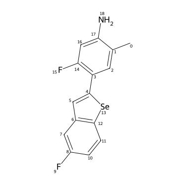 Cc1cc(-c2cc3cc(F)ccc3[se]2)c(F)cc1N